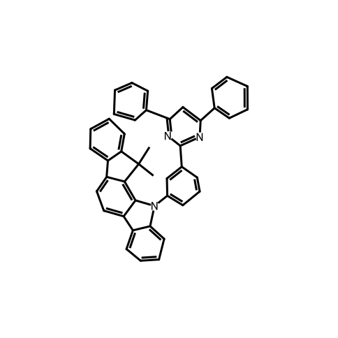 CC1(C)c2ccccc2-c2ccc3c4ccccc4n(-c4cccc(-c5nc(-c6ccccc6)cc(-c6ccccc6)n5)c4)c3c21